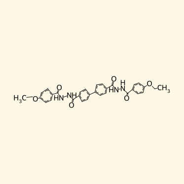 CCOc1ccc(C(=O)NNC(=O)c2ccc(-c3ccc(C(=O)NNC(=O)c4ccc(OCC)cc4)cc3)cc2)cc1